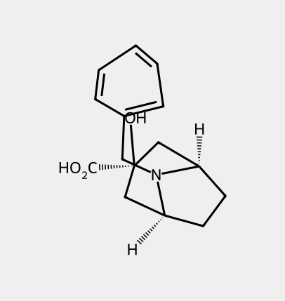 O=C(O)[C@]1(O)C[C@H]2CC[C@@H](C1)N2Cc1ccccc1